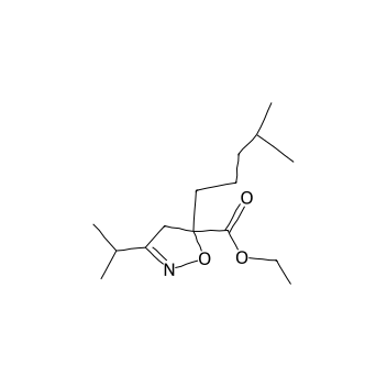 CCOC(=O)C1(CCCC(C)C)CC(C(C)C)=NO1